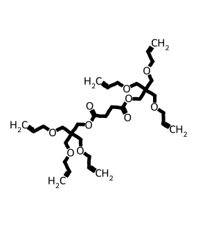 C=CCOCC(COCC=C)(COCC=C)COC(=O)CCC(=O)OCC(COCC=C)(COCC=C)COCC=C